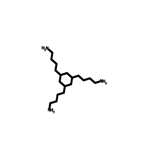 NCCCCC1CC(CCCCN)CC(CCCCN)C1